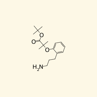 CC(C)(C)OC(=O)C(C)(C)Oc1ccccc1CCCN